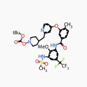 COc1c(NC(=O)c2ccc(C)c(Oc3ccnc(CC4CCN(OC(=O)OC(C)(C)C)CC4)c3)c2)cc(C(F)(F)C(F)(F)F)cc1NS(C)(=O)=O